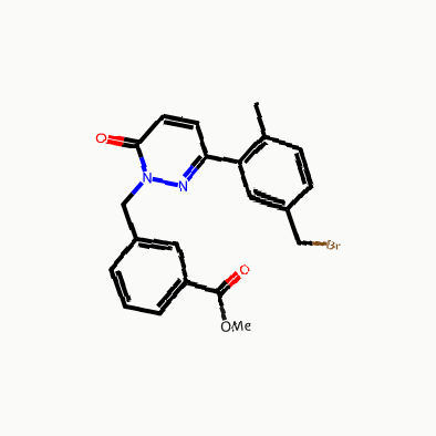 COC(=O)c1cccc(Cn2nc(-c3cc(CBr)ccc3C)ccc2=O)c1